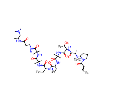 CC[C@H](C)/C=C/C(=O)N1CCC[C@H]1N(C=O)[C@@H](C)C(=O)N[C@H](C(=O)NC(C)(C)C(=O)N[C@@H](CC(C)C)C(=O)N[C@@H](CC(C)C)C(=O)NC(C)(C)C(=O)NC(C)(C)C(=O)NCCC(=O)N[C@@H](C)CN(C)C)[C@H](O)C(C)C